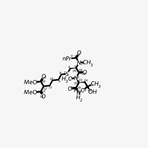 CCCC(=O)N(C)[C@H](CSCCCCC(C(=O)OC)C(=O)OC)C(=O)N(C)[C@@H](CC(C)(C)O)C(N)=O